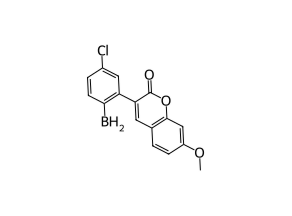 Bc1ccc(Cl)cc1-c1cc2ccc(OC)cc2oc1=O